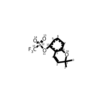 CC1(C)C=Cc2c(cccc2OS(=O)(=O)C(F)(F)F)O1